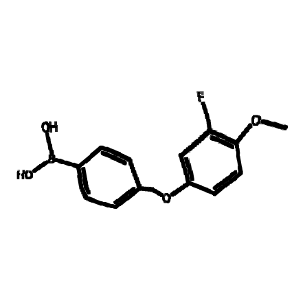 COc1ccc(Oc2ccc(B(O)O)cc2)cc1F